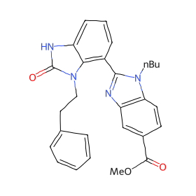 CCCCn1c(-c2cccc3[nH]c(=O)n(CCc4ccccc4)c23)nc2cc(C(=O)OC)ccc21